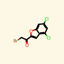 O=C(CBr)c1cc2c(Cl)cc(Cl)cc2o1